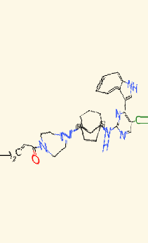 C=CC(=O)N1CCN([C@]23CCC[C@](Nc4ncc(Cl)c(-c5c[nH]c6ccccc56)n4)(CC2)C3)CC1